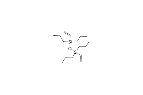 C=C[Si](CCC)(CCC)O[Si](C=C)(CCC)CCC